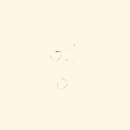 CC(=O)N1Cc2ccccc2C2(CCN(Cc3ccccc3F)CC2)C1